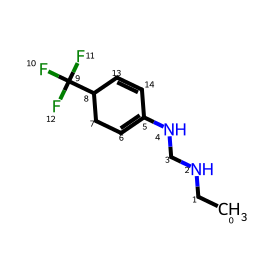 CCNCNC1=CCC(C(F)(F)F)C=C1